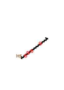 C=C(C)CCCCCOCCCCCCCCOCCOCCOCCC(=C)S